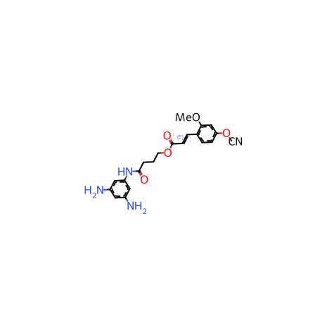 COc1cc(OC#N)ccc1/C=C/C(=O)OCCCC(=O)Nc1cc(N)cc(N)c1